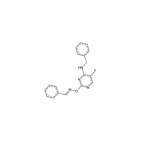 Fc1cnc(ON=Cc2ccccc2)nc1NCc1ccccc1